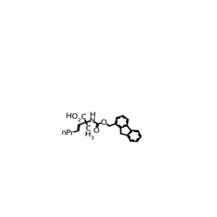 CCCC=CC(C)(NC(=O)OCc1cccc2c1Cc1ccccc1-2)C(=O)O